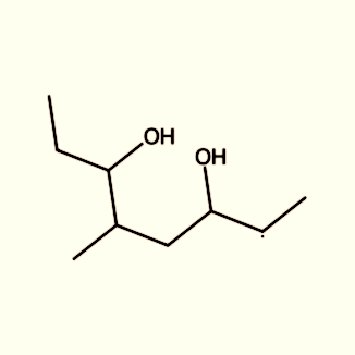 C[CH]C(O)CC(C)C(O)CC